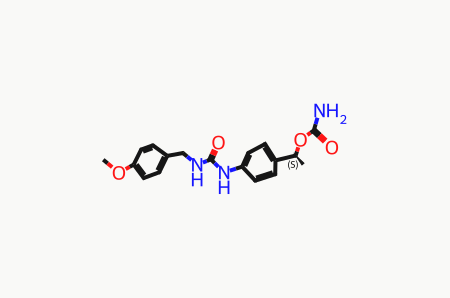 COc1ccc(CNC(=O)Nc2ccc([C@H](C)OC(N)=O)cc2)cc1